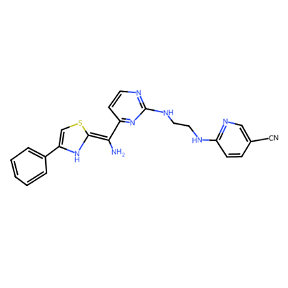 N#Cc1ccc(NCCNc2nccc(/C(N)=C3/NC(c4ccccc4)=CS3)n2)nc1